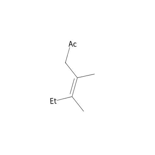 CCC(C)=C(C)CC(C)=O